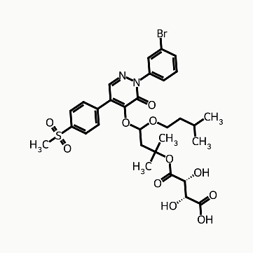 CC(C)CCOC(CC(C)(C)OC(=O)[C@H](O)[C@@H](O)C(=O)O)Oc1c(-c2ccc(S(C)(=O)=O)cc2)cnn(-c2cccc(Br)c2)c1=O